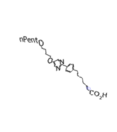 CCCCCOCCCCOc1cnc(-c2ccc(CCCC/C=C/C(=O)O)cc2)nc1